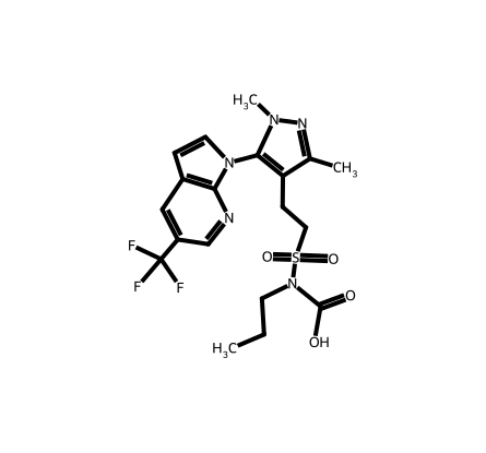 CCCN(C(=O)O)S(=O)(=O)CCc1c(C)nn(C)c1-n1ccc2cc(C(F)(F)F)cnc21